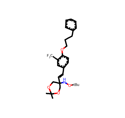 CC(C)(C)ONC1(/C=C/c2ccc(OCCCc3ccccc3)c(C(F)(F)F)c2)COC(C)(C)OC1